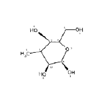 CC1[C@@H](O)C(CO)O[C@@H](O)[C@H]1O